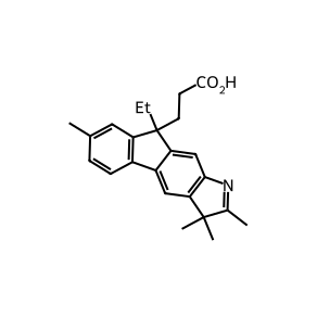 CCC1(CCC(=O)O)c2cc(C)ccc2-c2cc3c(cc21)N=C(C)C3(C)C